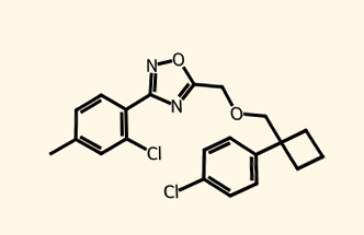 Cc1ccc(-c2noc(COCC3(c4ccc(Cl)cc4)CCC3)n2)c(Cl)c1